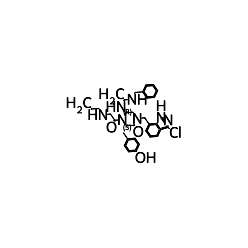 C=CCNCC(=O)N1[C@@H](NC(=C)NCc2ccccc2)CN(Cc2cccc3c(Cl)n[nH]c23)C(=O)[C@@H]1Cc1ccc(O)cc1